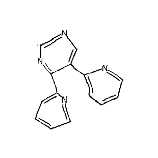 [c]1ncc(-c2ccccn2)c(-c2ccccn2)n1